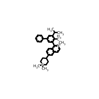 Cc1c(-c2c3ccc(C4CC[Si](C)(C)CC4)cc3cc[n+]2C)cc(-c2ccccc2)cc1C(C)C